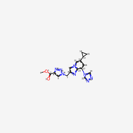 COC(=O)c1cn(Cc2cn3cc(C4CC4)cc(-n4cnnc4)c3n2)nn1